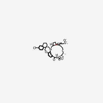 C[C@@H]1[C@@H](C)CCC[C@@](O)(CC[S@@+](C)[O-])[C@@H]2CC[C@H]2CN2C[C@@]3(CCCc4cc(Cl)ccc43)COc3ccc(cc32)C(=O)NS1(=O)=O